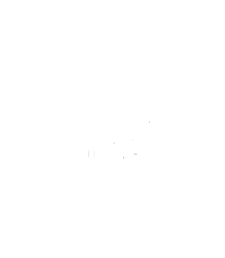 O=c1ccocc1O.[Fe]